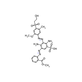 COC(=O)c1ccccc1/N=N/c1cc(S(=O)(=O)O)c(N)c(/N=N/c2cc(C)c(S(=O)(=O)CCO)cc2OC)c1N